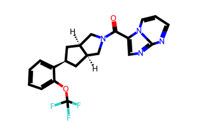 O=C(c1cnc2ncccn12)N1C[C@H]2C[C@@H](c3ccccc3OC(F)(F)F)C[C@H]2C1